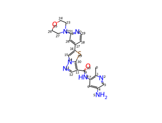 Cc1ncc(N)cc1NC(=O)c1cnn2cc(-c3ccnc(N4CCOCC4)c3)sc12